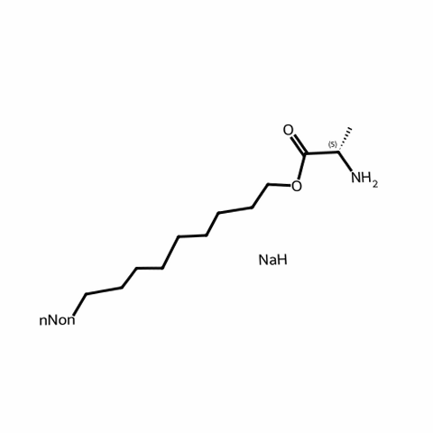 CCCCCCCCCCCCCCCCCCOC(=O)[C@H](C)N.[NaH]